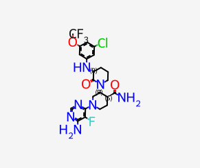 NC(=O)[C@H]1CCN(c2ncnc(N)c2F)C[C@@H]1N1CCC[C@@H](Nc2cc(Cl)cc(OC(F)(F)F)c2)C1=O